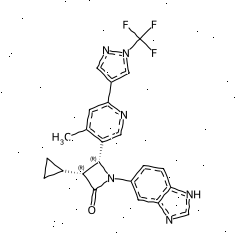 Cc1cc(-c2cnn(C(F)(F)F)c2)ncc1[C@H]1[C@@H](C2CC2)C(=O)N1c1ccc2[nH]cnc2c1